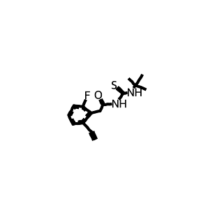 C#Cc1cccc(F)c1CC(=O)NC(=S)NC(C)(C)C